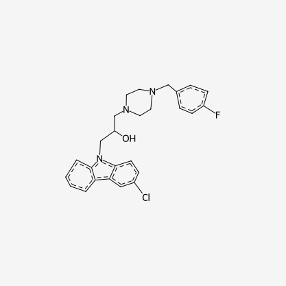 OC(CN1CCN(Cc2ccc(F)cc2)CC1)Cn1c2ccccc2c2cc(Cl)ccc21